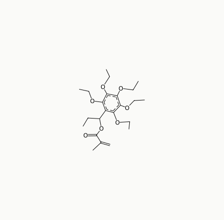 C=C(C)C(=O)OC(CC)c1c(OCC)c(OCC)c(OCC)c(OCC)c1OCC